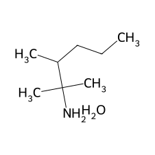 CCCC(C)C(C)(C)N.O